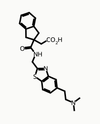 CN(C)CCc1ccc2sc(CNC(=O)C3(CC(=O)O)Cc4ccccc4C3)nc2c1